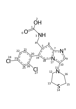 O=C(O)NCc1cc2ncc(N3CCSCC3)n2cc1-c1ccc(Cl)cc1Cl